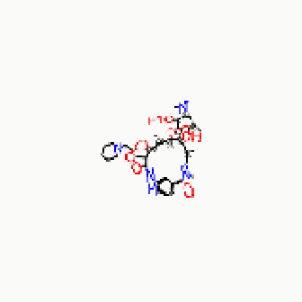 CC1C(=O)Nc2cccc(c2)C(=O)N(C)C[C@H](C)C[C@@](C)(O)[C@H](O[C@@H]2O[C@H](C)C[C@H](N(C)C)[C@H]2O)[C@@H](C)[C@@H]1OC(=O)CN1CCCCC1